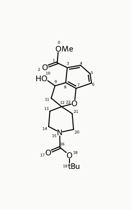 COC(=O)c1cccc2c1C(O)CC1(CCN(C(=O)OC(C)(C)C)CC1)O2